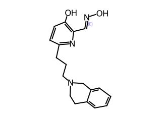 O/N=C/c1nc(CCCN2CCc3ccccc3C2)ccc1O